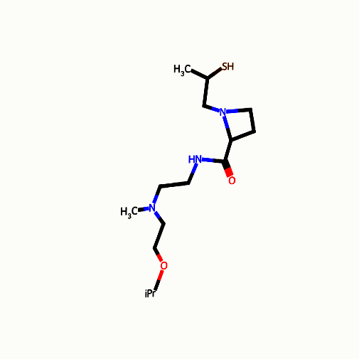 CC(S)CN1CCC1C(=O)NCCN(C)CCOC(C)C